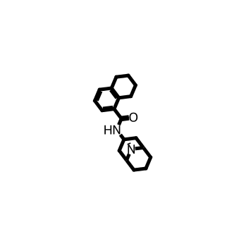 CN1C2CCCC1CC(NC(=O)c1cccc3c1CCCC3)C2